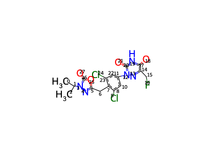 CC(C)n1nc(Cc2c(Cl)cc(-n3nc(CF)c(=O)[nH]c3=O)cc2Cl)oc1=O